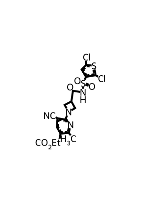 CCOC(=O)c1cc(C#N)c(N2CC(C(=O)NS(=O)(=O)c3cc(Cl)sc3Cl)C2)nc1C